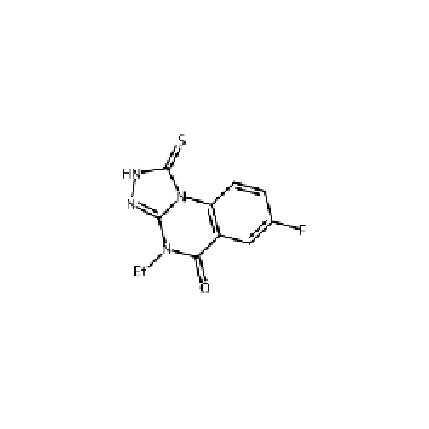 CCn1c(=O)c2cc(F)ccc2n2c(=S)[nH]nc12